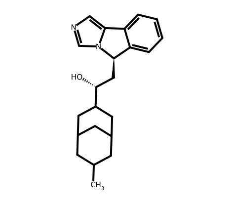 CC1CC2CC(C1)CC([C@H](O)C[C@@H]1c3ccccc3-c3cncn31)C2